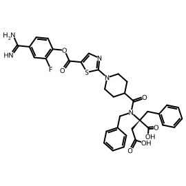 N=C(N)c1ccc(OC(=O)c2cnc(N3CCC(C(=O)N(Cc4ccccc4)[C@](CC(=O)O)(Cc4ccccc4)C(=O)O)CC3)s2)c(F)c1